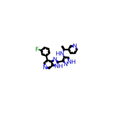 C=C(Nc1c[nH]nc1-c1nc2c(-c3cccc(F)c3)cncc2[nH]1)c1cccnc1